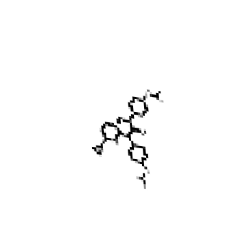 O=c1c(-c2ccc(OC(F)F)cc2)cn2ccc(C3CC3)nc2c1-c1ccc(OC(F)F)cc1